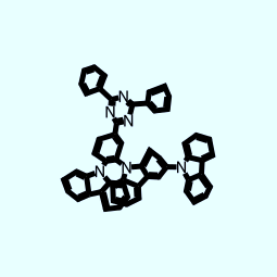 c1ccc(-c2nc(-c3ccccc3)nc(-c3ccc(-n4c5ccccc5c5ccccc54)c(-n4c5ccccc5c5cc(-n6c7ccccc7c7ccccc76)ccc54)c3)n2)cc1